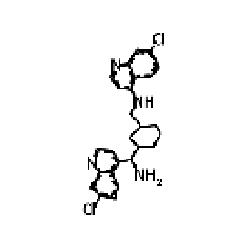 NC(c1ccnc2cc(Cl)ccc12)C1CCCC(CNc2ccnc3cc(Cl)ccc23)C1